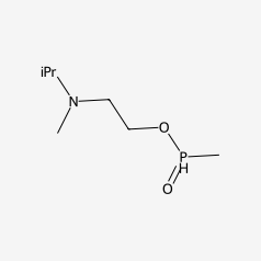 CC(C)N(C)CCO[PH](C)=O